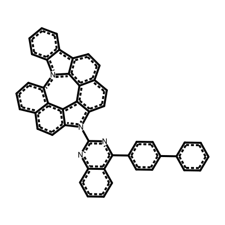 c1ccc(-c2ccc(-c3nc(-n4c5ccc6cccc7c6c5c5c6c(ccc8c9ccccc9n7c86)ccc54)nc4ccccc34)cc2)cc1